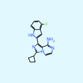 Nc1nccn2c(C3CCC3)nc(-c3cc4c(F)cccc4[nH]3)c12